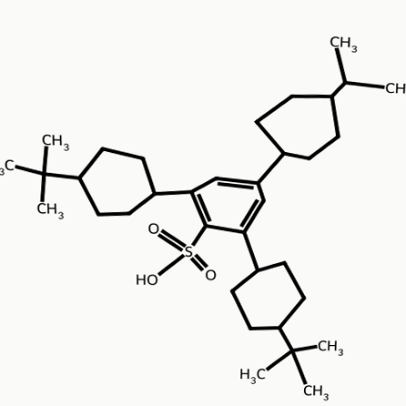 CC(C)C1CCC(c2cc(C3CCC(C(C)(C)C)CC3)c(S(=O)(=O)O)c(C3CCC(C(C)(C)C)CC3)c2)CC1